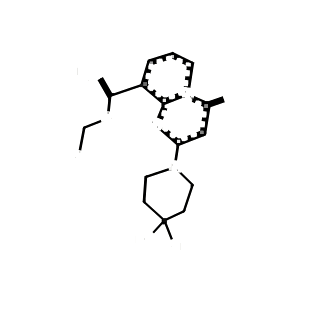 C=C(OCC)c1cccn2c(=O)cc(N3CCC(C)(C)CC3)nc12